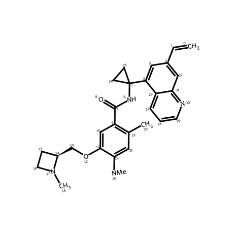 C=Cc1cc(C2(NC(=O)c3cc(OC[C@@H]4CCN4C)c(NC)cc3C)CC2)c2cccnc2c1